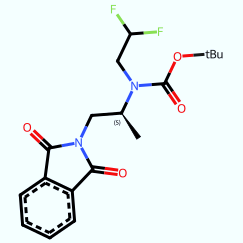 C[C@@H](CN1C(=O)c2ccccc2C1=O)N(CC(F)F)C(=O)OC(C)(C)C